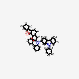 c1ccc(-c2ccccc2N(c2ccc3c(ccc4c5ccccc5oc34)c2)c2ccc3c4ccccc4n(-c4ccccc4)c3c2)cc1